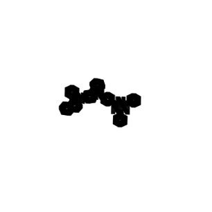 c1ccc(-c2nc(-c3ccccc3)nc(-c3ccc(-n4c5ccccc5c5cc(-n6c7ccccc7c7c8ccccc8ccc76)ccc54)cc3)n2)cc1